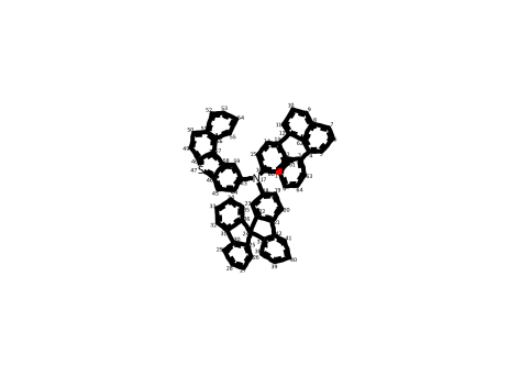 c1ccc(-c2cccc3cccc(-c4ccc(N(c5ccc6c(c5)C5(c7ccccc7-c7ccccc75)c5ccccc5-6)c5ccc6sc7ccc8ccccc8c7c6c5)cc4)c23)cc1